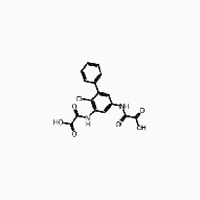 O=C(O)C(=O)Nc1cc(NC(=O)C(=O)O)c(Cl)c(-c2ccccc2)c1